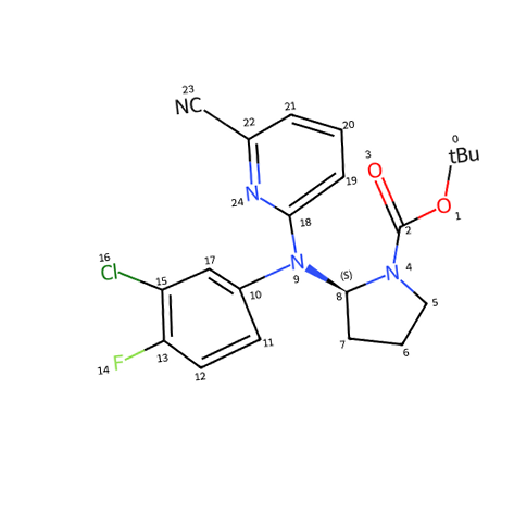 CC(C)(C)OC(=O)N1CCC[C@H]1N(c1ccc(F)c(Cl)c1)c1cccc(C#N)n1